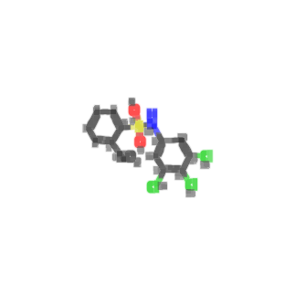 O=[N+]([O-])c1ccccc1S(=O)(=O)Nc1cc(Cl)c(Cl)c(Cl)c1